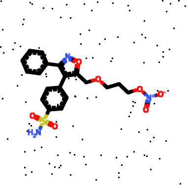 NS(=O)(=O)c1ccc(-c2c(-c3ccccc3)noc2COCCCO[N+](=O)[O-])cc1